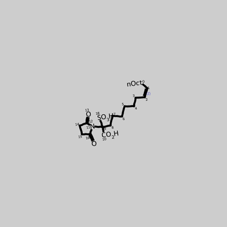 CCCCCCCC/C=C\CCCCCCC(C(=O)O)(N1C(=O)CCC1=O)S(=O)(=O)O